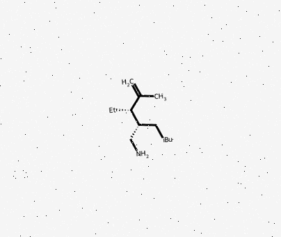 C=C(C)[C@@H](CC)[C@@H](CN)CC(C)CC